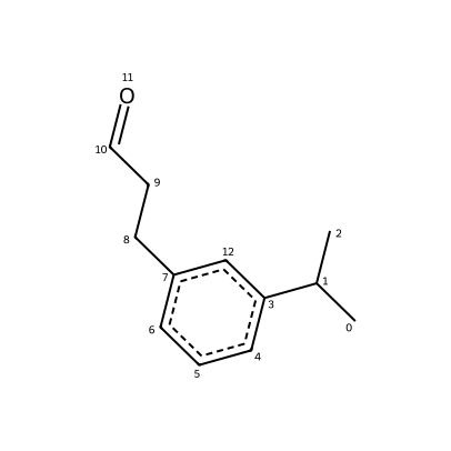 CC(C)c1cccc(CCC=O)c1